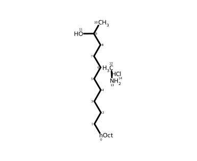 CCCCCCCCCCCCCCCCC(C)O.CN.Cl